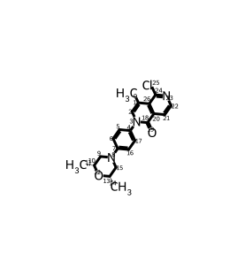 Cc1cn(-c2ccc(N3C[C@@H](C)O[C@@H](C)C3)cc2)c(=O)c2ccnc(Cl)c12